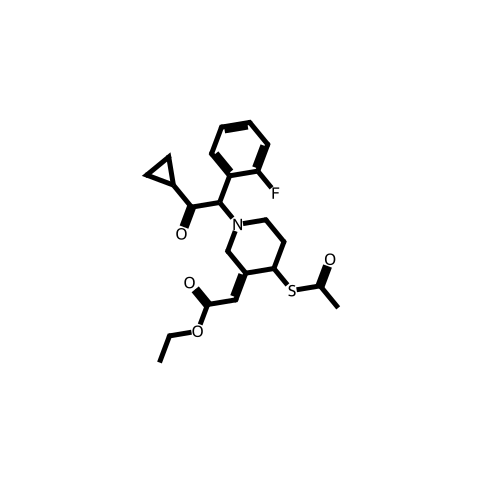 CCOC(=O)C=C1CN(C(C(=O)C2CC2)c2ccccc2F)CCC1SC(C)=O